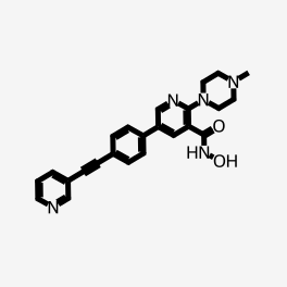 CN1CCN(c2ncc(-c3ccc(C#Cc4cccnc4)cc3)cc2C(=O)NO)CC1